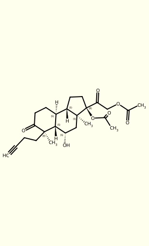 C#CCC[C@@]1(C)C(=O)CC[C@@H]2[C@@H]1[C@@H](O)C[C@@]1(C)[C@H]2CC[C@]1(OC(C)=O)C(=O)COC(C)=O